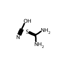 N#CO.NC(N)=S